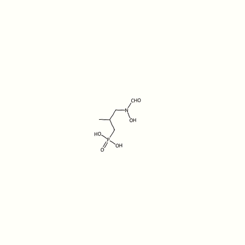 CC(CN(O)C=O)CP(=O)(O)O